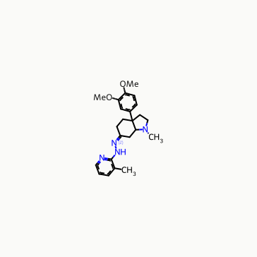 COc1ccc(C23CC/C(=N/Nc4ncccc4C)CC2N(C)CC3)cc1OC